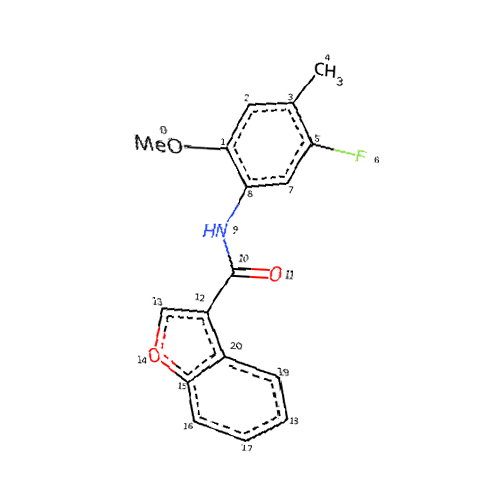 COc1cc(C)c(F)cc1NC(=O)c1coc2ccccc12